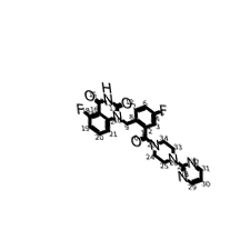 O=C(c1cc(F)ccc1Cn1c(=O)[nH]c(=O)c2c(F)cccc21)N1CCN(c2ncccn2)CC1